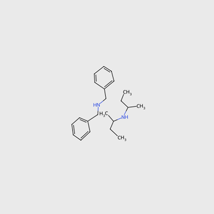 CCC(C)NC(C)CC.c1ccc(CNCc2ccccc2)cc1